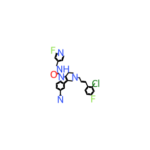 N#Cc1ccc2c(c1)c1c(n2C(=O)NCc2ccnc(F)c2)CCN(CC=Cc2ccc(F)cc2Cl)C1